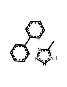 Cc1nnn[nH]1.c1ccc(-c2ccccc2)cc1